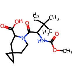 COC(=O)NC(C(=O)N1CCC2(CC2)CC1C(=O)O)C(C)(C)C